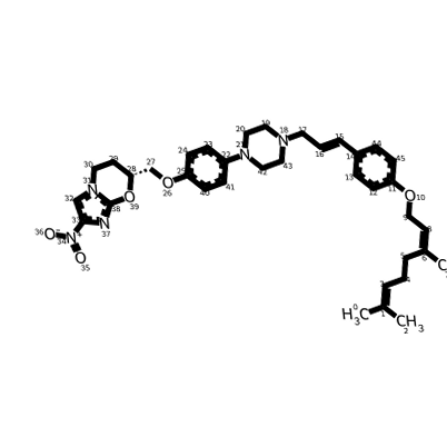 CC(C)=CCCC(C)=CCOc1ccc(C=CCN2CCN(c3ccc(OC[C@H]4CCn5cc([N+](=O)[O-])nc5O4)cc3)CC2)cc1